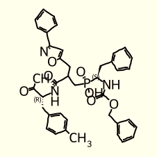 CC(=O)[C@@H](Cc1ccc(C)cc1)NC(=O)C(Cc1cc(-c2ccccc2)no1)CP(=O)(O)[C@@H](Cc1ccccc1)NC(=O)OCc1ccccc1